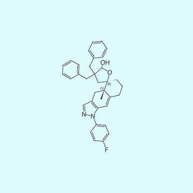 C[C@]12Cc3cnn(-c4ccc(F)cc4)c3C=C1CCC[C@@]21CC(Cc2ccccc2)(Cc2ccccc2)C(O)O1